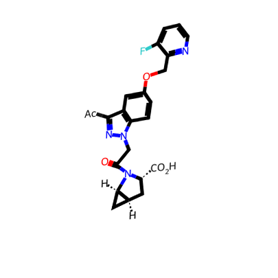 CC(=O)c1nn(CC(=O)N2[C@@H]3C[C@@H]3C[C@H]2C(=O)O)c2ccc(OCc3ncccc3F)cc12